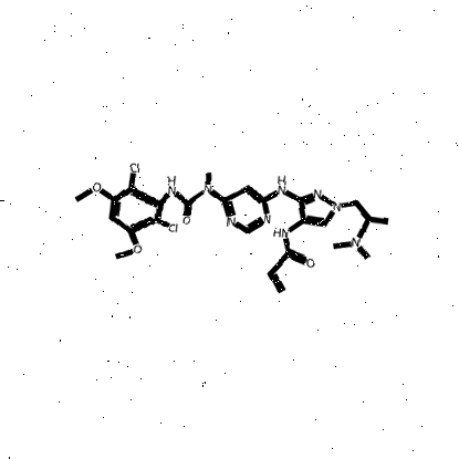 C=CC(=O)Nc1cn(CC(C)N(C)C)nc1Nc1cc(N(C)C(=O)Nc2c(Cl)c(OC)cc(OC)c2Cl)ncn1